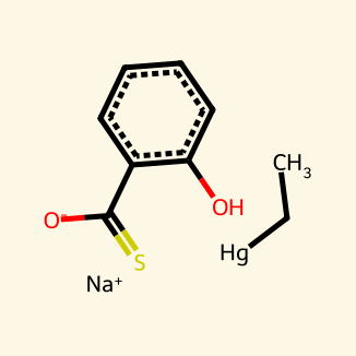 C[CH2][Hg].[Na+].[O-]C(=S)c1ccccc1O